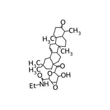 CCNC(=O)C1OC(C(=O)C23CCC4C(=CCC5C4(C)CCC4C(C)C(=O)CCC45C)C2CC(C)(C)CC3)C(O)C2OC12